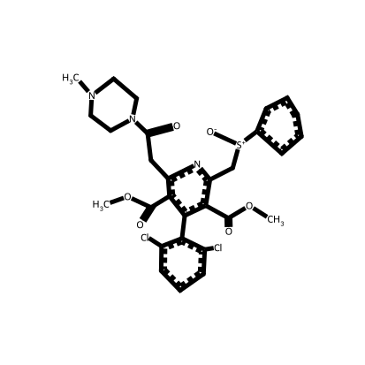 COC(=O)c1c(CC(=O)N2CCN(C)CC2)nc(C[S+]([O-])c2ccccc2)c(C(=O)OC)c1-c1c(Cl)cccc1Cl